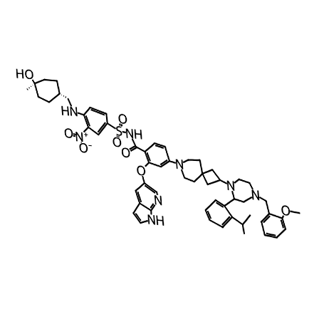 COc1ccccc1CN1CCN(C2CC3(CCN(c4ccc(C(=O)NS(=O)(=O)c5ccc(NC[C@H]6CC[C@](C)(O)CC6)c([N+](=O)[O-])c5)c(Oc5cnc6[nH]ccc6c5)c4)CC3)C2)C(c2ccccc2C(C)C)C1